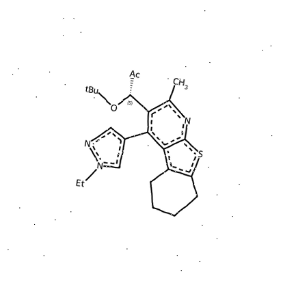 CCn1cc(-c2c([C@H](OC(C)(C)C)C(C)=O)c(C)nc3sc4c(c23)CCCC4)cn1